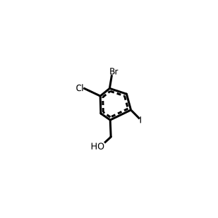 OCc1cc(Cl)c(Br)cc1I